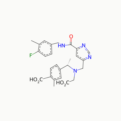 Cc1cc(CNC(=O)c2cc(CN(CC(=O)O)[C@@H](C)c3ccc(C(=O)O)c(C)c3)ncn2)ccc1F